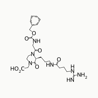 N=C(N)NCCCC(=O)NCCC[C@H]1C(=O)N(CC(=O)O)CCN1C(=O)CNC(=O)OCc1ccccc1